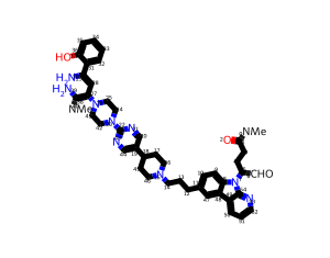 CNC(=O)CCC(C=O)n1c2ccc(CCCN3CCC(c4cnc(N5CCN(C(/C=C(\N)c6ccccc6O)=C(/N)NC)CC5)nc4)CC3)cc2c2cccnc21